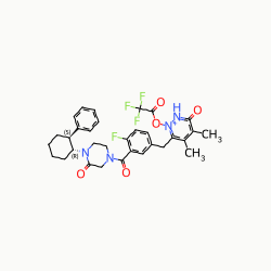 Cc1c(C)c(=O)[nH][n+](OC(=O)C(F)(F)F)c1Cc1ccc(F)c(C(=O)N2CCN([C@@H]3CCCC[C@H]3c3ccccc3)C(=O)C2)c1